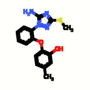 CSc1nc(N)n(-c2ccccc2Oc2ccc(C)cc2O)n1